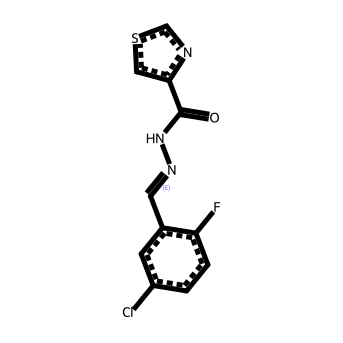 O=C(N/N=C/c1cc(Cl)ccc1F)c1cscn1